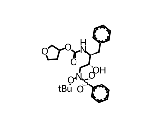 CC(C)(C)ON(C[C@@H](O)[C@H](Cc1ccccc1)NC(=O)OC1CCOC1)S(=O)(=O)c1ccccc1